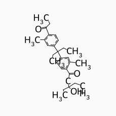 CCC(=O)c1ccc(C(CC)(CC)c2ccc(C(=O)CC(O)(CC)CC)c(C)c2)cc1C